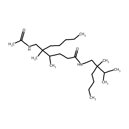 CCCCCC(C)(CNC(C)=O)C(C)CCC(=O)NCC(C)(CCCC)C(C)C